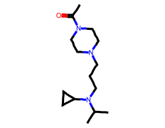 CC(=O)N1CCN(CCCN(C(C)C)C2CC2)CC1